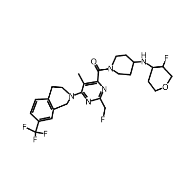 Cc1c(C(=O)N2CCC(NC3CCOCC3F)CC2)nc(CF)nc1N1CCc2ccc(C(F)(F)F)cc2C1